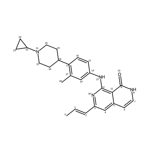 CC=Cc1cc2cc[nH]c(=O)c2c(Nc2ccc(C3CCN(C4CC4)CC3)c(C)c2)n1